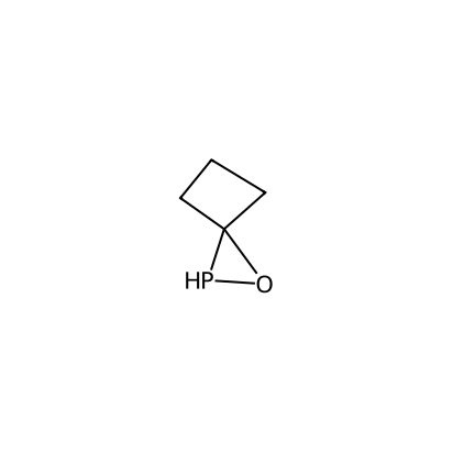 C1CC2(C1)OP2